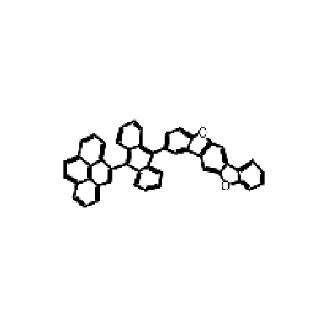 c1cc2ccc3cccc4c(-c5c6ccccc6c(-c6ccc7oc8cc9c(cc8c7c6)oc6ccccc69)c6ccccc56)cc(c1)c2c34